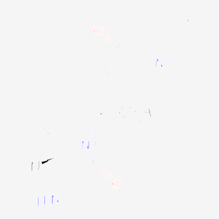 NC1C(=O)N2C(C(=O)O)=C(CSC(=O)c3cscn3)CS[C@@H]12